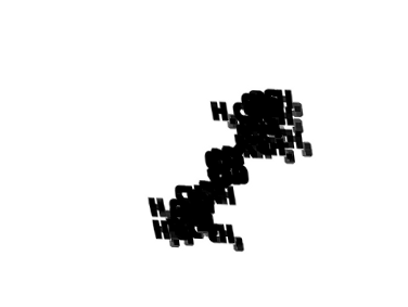 COC(=O)N[C@H](C(=O)N(Cc1ncc(-c2cc3c4c(c2)OCc2cc(-c5cnc([C@H](C)N(C(=O)[C@@H](NC(=O)OC)C(C)C)[C@H]6C(C)[C@@H]6C)[nH]5)cc(c2-4)OC3)[nH]1)[C@H]1C(C)[C@@H]1C)C(C)C